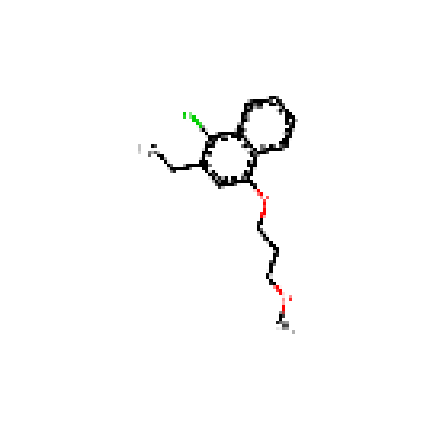 CCc1cc(OCCCOC)c2ccccc2c1Cl